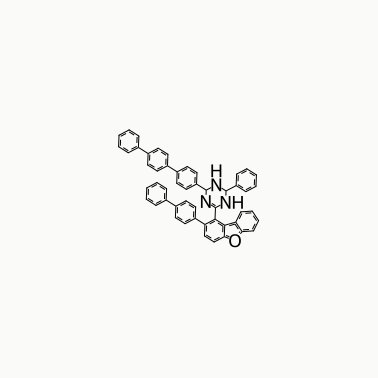 c1ccc(-c2ccc(-c3ccc(C4N=C(c5c(-c6ccc(-c7ccccc7)cc6)ccc6oc7ccccc7c56)NC(c5ccccc5)N4)cc3)cc2)cc1